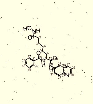 O=C(CCCCC[C@H](NC(=O)c1ccccc1)C(=O)Nc1ccc2ncccc2c1)NO